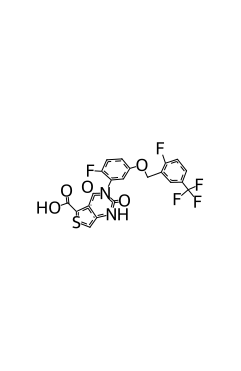 O=C(O)c1scc2[nH]c(=O)n(-c3cc(OCc4cc(C(F)(F)F)ccc4F)ccc3F)c(=O)c12